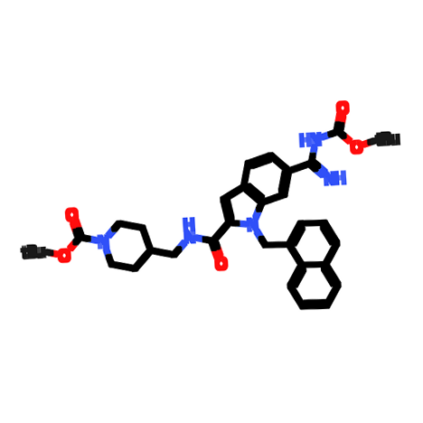 CC(C)(C)OC(=O)NC(=N)c1ccc2cc(C(=O)NCC3CCN(C(=O)OC(C)(C)C)CC3)n(Cc3cccc4ccccc34)c2c1